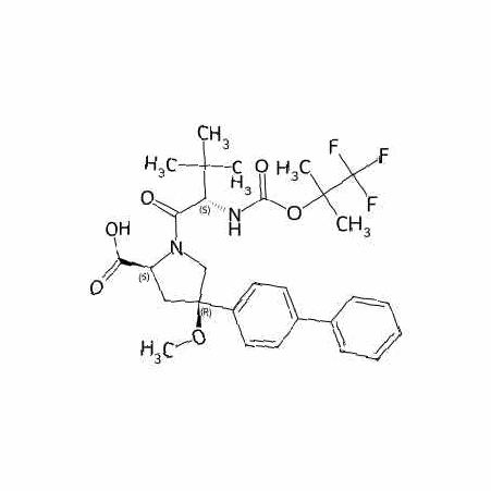 CO[C@@]1(c2ccc(-c3ccccc3)cc2)C[C@@H](C(=O)O)N(C(=O)[C@@H](NC(=O)OC(C)(C)C(F)(F)F)C(C)(C)C)C1